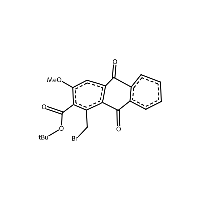 COc1cc2c(c(CBr)c1C(=O)OC(C)(C)C)C(=O)c1ccccc1C2=O